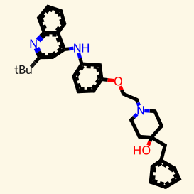 CC(C)(C)c1cc(Nc2cccc(OCCN3CCC(O)(Cc4ccccc4)CC3)c2)c2ccccc2n1